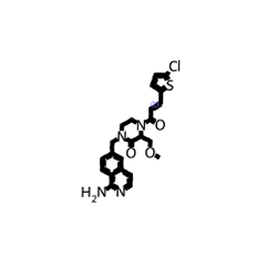 COCC1C(=O)N(Cc2ccc3c(N)nccc3c2)CCN1C(=O)/C=C/c1ccc(Cl)s1